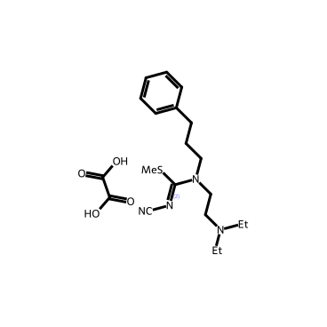 CCN(CC)CCN(CCCc1ccccc1)/C(=N/C#N)SC.O=C(O)C(=O)O